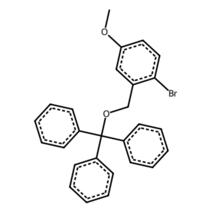 COc1ccc(Br)c(COC(c2ccccc2)(c2ccccc2)c2ccccc2)c1